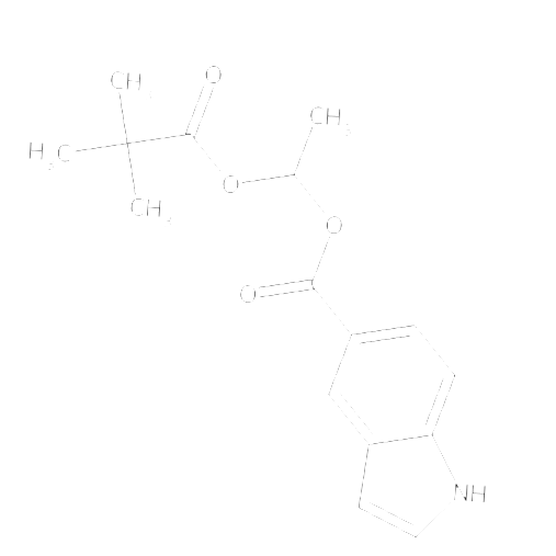 CC(OC(=O)c1ccc2[nH]ccc2c1)OC(=O)C(C)(C)C